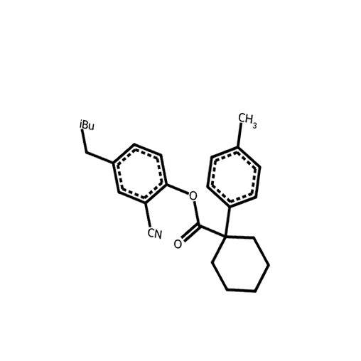 CCC(C)Cc1ccc(OC(=O)C2(c3ccc(C)cc3)CCCCC2)c(C#N)c1